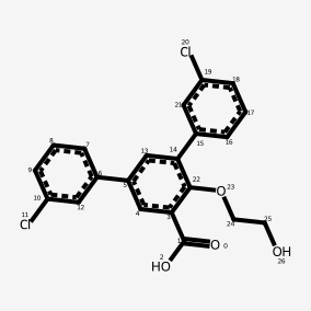 O=C(O)c1cc(-c2cccc(Cl)c2)cc(-c2cccc(Cl)c2)c1OCCO